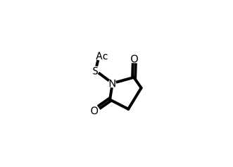 CC(=O)SN1C(=O)CCC1=O